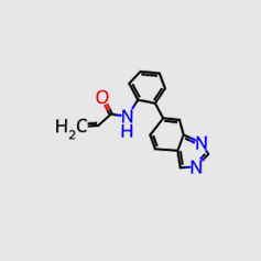 C=CC(=O)Nc1ccccc1-c1ccc2cncnc2c1